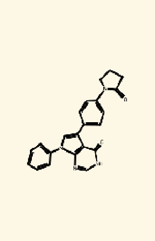 O=C1CCCN1c1ccc(-c2cn(-c3ccccc3)c3nc[nH]c(=O)c23)cc1